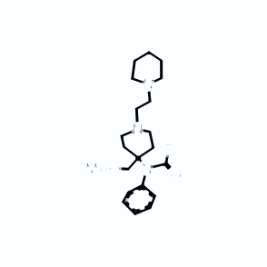 CCC(=O)N(c1ccccc1)C1(COC)CCN(CCN2CCCCC2)CC1